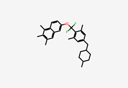 Cc1cc2cc(OC(F)(F)c3c(C)cc(CC4CCC(C)CC4)cc3C)ccc2c(C)c1C